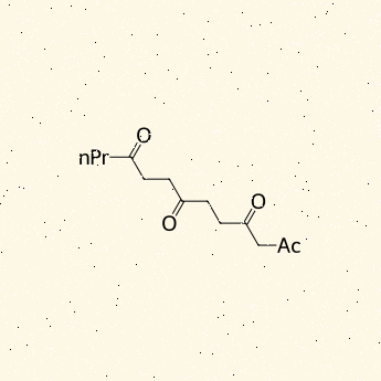 CCCC(=O)CCC(=O)CCC(=O)CC(C)=O